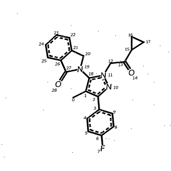 Cc1c(-c2ccc(F)cc2)nn(CC(=O)C2CC2)c1N1Cc2ccccc2C1=O